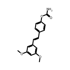 COc1cc(C=Cc2ccc(OC(N)=O)cc2)cc(OC)c1